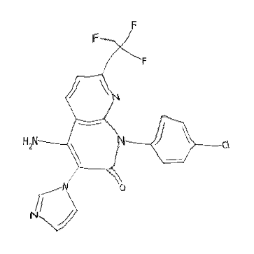 Nc1c(-n2ccnc2)c(=O)n(-c2ccc(Cl)cc2)c2nc(C(F)(F)F)ccc12